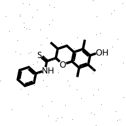 Cc1c(C)c2c(c(C)c1O)CC(C)C(C(=S)Nc1ccccc1)O2